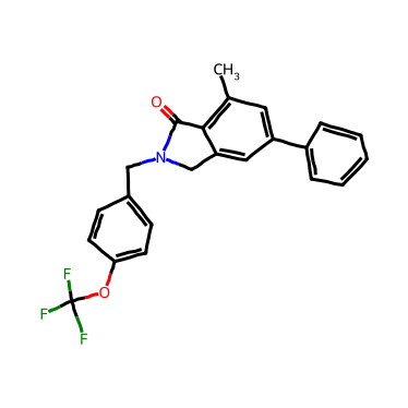 Cc1cc(-c2ccccc2)cc2c1C(=O)N(Cc1ccc(OC(F)(F)F)cc1)C2